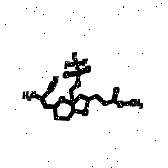 COC(=O)CCC1CC2(COS(=O)(=O)C(F)(F)F)OC(CC(C)C#N)CCC2O1